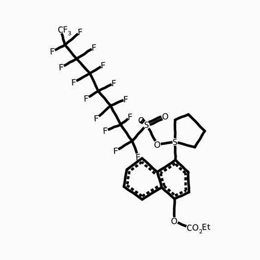 CCOC(=O)Oc1ccc(S2(OS(=O)(=O)C(F)(F)C(F)(F)C(F)(F)C(F)(F)C(F)(F)C(F)(F)C(F)(F)C(F)(F)F)CCCC2)c2ccccc12